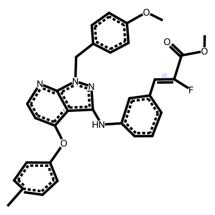 COC(=O)/C(F)=C/c1cccc(Nc2nn(Cc3ccc(OC)cc3)c3nccc(Oc4ccc(C)cc4)c23)c1